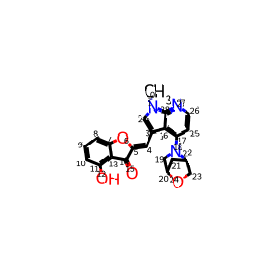 Cn1cc(/C=C2\Oc3cccc(O)c3C2=O)c2c(N3CC4CC3CO4)ccnc21